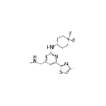 CNCc1cc(NC2CCC(F)(F)CC2)nc(-c2nc(C)cs2)c1